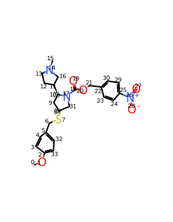 COc1ccc(CS[C@H]2C[C@@H](C3CCN(C)C3)N(C(=O)OCc3ccc([N+](=O)[O-])cc3)C2)cc1